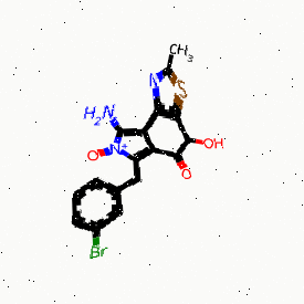 Cc1nc2c(s1)C(O)C(=O)C1=C(Cc3cccc(Br)c3)[N+](=O)C(N)=C12